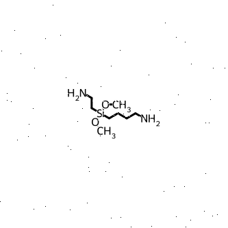 CO[Si](CCN)(CCCCN)OC